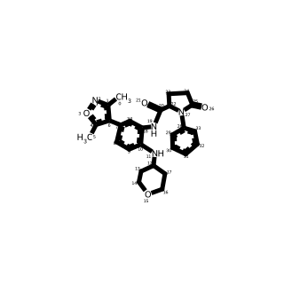 Cc1noc(C)c1-c1ccc(NC2CCOCC2)c(NC(=O)C2CCC(=O)N2c2ccccc2)c1